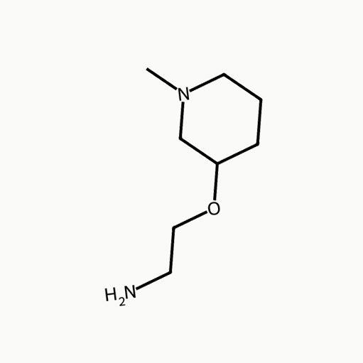 CN1CCCC(OCCN)C1